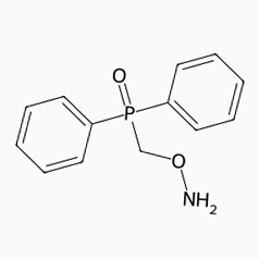 NOCP(=O)(c1ccccc1)c1ccccc1